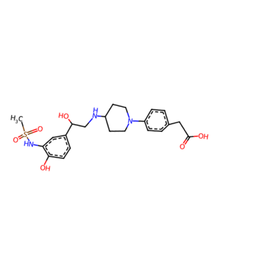 CS(=O)(=O)Nc1cc(C(O)CNC2CCN(c3ccc(CC(=O)O)cc3)CC2)ccc1O